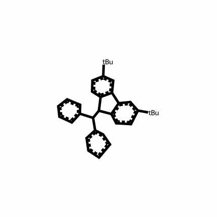 CC(C)(C)c1ccc2c(c1)-c1cc(C(C)(C)C)ccc1C2C(c1ccccc1)c1ccccc1